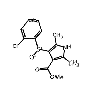 COC(=O)c1c(C)[nH]c(C)c1[S+]([O-])c1ccccc1Cl